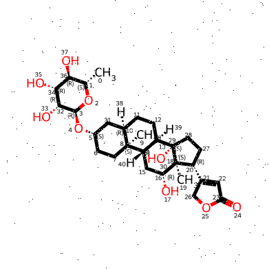 C[C@@H]1O[C@@H](O[C@H]2CC[C@@]3(C)[C@H](CC[C@@H]4[C@@H]3C[C@@H](O)[C@]3(C)[C@@H](C5=CC(=O)OC5)CC[C@]43O)C2)[C@H](O)[C@H](O)[C@H]1O